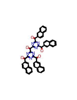 O=C(c1ccc2ccccc2c1)c1nc(C(=O)c2ccc3ccccc3c2)nc(C(=O)c2nc(C(=O)c3ccc4ccccc4c3)nc(C(=O)c3ccc4ccccc4c3)n2)n1